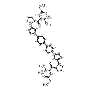 COC(=O)NC(C(=O)N1CCCC1c1cn(-c2ccc(-c3ccc(-n4cnc([C@@H]5CCCN5C(=O)[C@@H](NC(=O)OC)C(C)C)c4)cc3)cc2)cn1)C(C)C